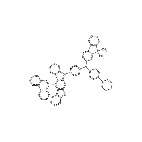 CC1(C)c2ccccc2-c2ccc(N(c3ccc(C4=CCCC=C4)cc3)c3ccc(-n4c5ccccc5c5c(-c6cc7ccccc7c7ccccc67)c6c(cc54)oc4ccccc46)cc3)cc21